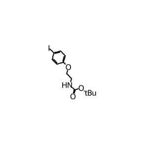 CC(C)(C)OC(=O)NCCOc1ccc(I)cc1